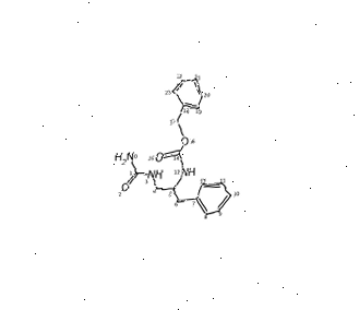 NC(=O)NCC(Cc1ccccc1)NC(=O)OCc1ccccc1